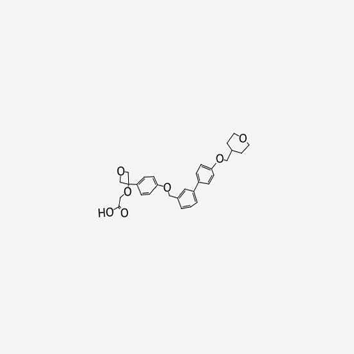 O=C(O)COC1(c2ccc(OCc3cccc(-c4ccc(OCC5CCOCC5)cc4)c3)cc2)COC1